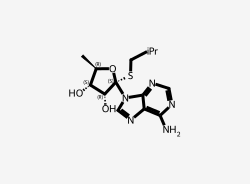 CC(C)CS[C@@]1(n2cnc3c(N)ncnc32)O[C@H](C)[C@@H](O)[C@H]1O